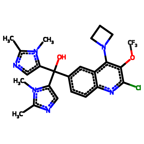 Cc1ncc(C(O)(c2ccc3nc(Cl)c(OC(F)(F)F)c(N4CCC4)c3c2)c2cnc(C)n2C)n1C